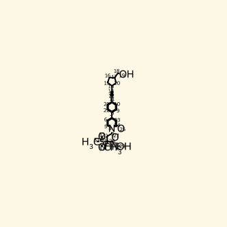 CC(CCn1ccc(-c2ccc(C#CC3CCC(CO)C3)cc2)cc1=O)(C(=O)NO)S(C)(=O)=O